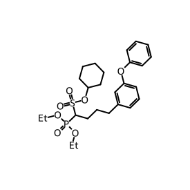 CCOP(=O)(OCC)C(CCCc1cccc(Oc2ccccc2)c1)S(=O)(=O)OC1CCCCC1